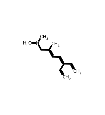 C=CC(C=C)=C/C=C(\C)CN(C)C